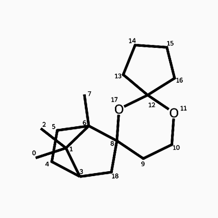 CC1(C)C2CCC1(C)C1(CCOC3(CCCC3)O1)C2